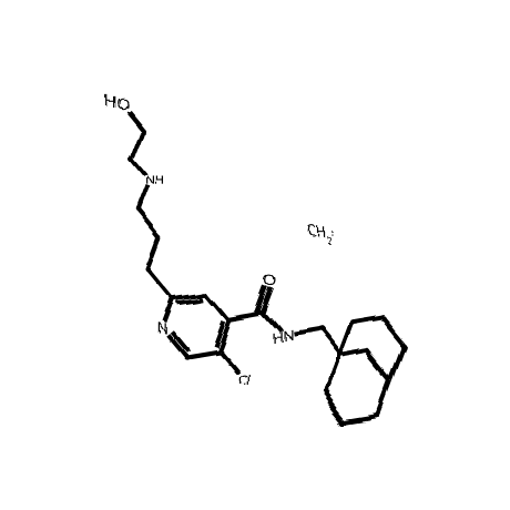 O=C(NCC12CCCC(CCC1)C2)c1cc(CCCNCCO)ncc1Cl.[CH2]